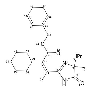 C/C(C1=NC(C)(C(C)C)C(=O)N1)=C(/C(=O)OCc1ccccc1)C1CCCCC1